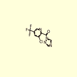 O=C(c1ncc(C(F)(F)F)cc1Cl)n1cncn1